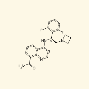 NC(=O)c1cccc2c(N[C@H](CN3CCC3)c3c(F)cccc3F)ncnc12